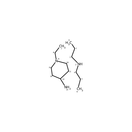 CCCNCCC.CCN1CCC(N)CC1